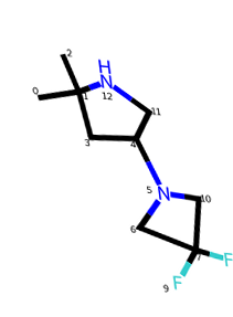 CC1(C)CC(N2CC(F)(F)C2)CN1